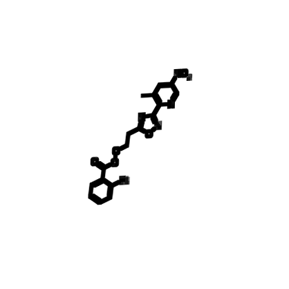 CCc1ccccc1C(=O)OOCCc1nc(-c2ncc([N+](=O)[O-])cc2C)no1